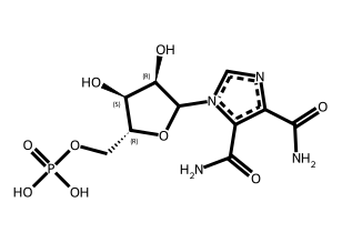 NC(=O)c1ncn(C2O[C@H](COP(=O)(O)O)[C@@H](O)[C@H]2O)c1C(N)=O